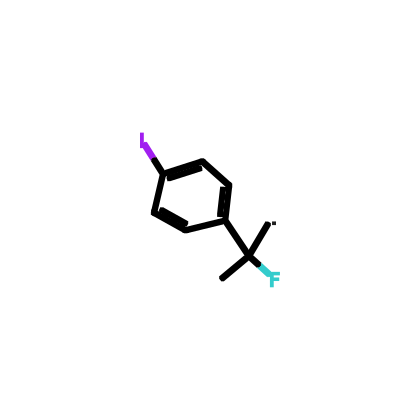 [CH2]C(C)(F)c1ccc(I)cc1